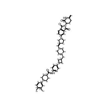 C=C1CCC(N2C(=O)c3ccc(N4CC/C(=C\N5CCN(CC6CN(c7ccc(NC(=O)C8CCN(c9ccc(C)c(C)c9)CC8)nc7)C6)CC5)C4)cc3C2=O)C(=O)N1